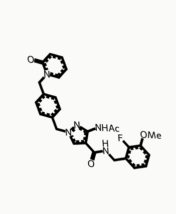 COc1cccc(CNC(=O)c2cn(Cc3ccc(Cn4ccccc4=O)cc3)nc2NC(C)=O)c1F